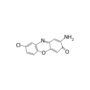 Nc1cc2nc3cc(Cl)ccc3oc-2cc1=O